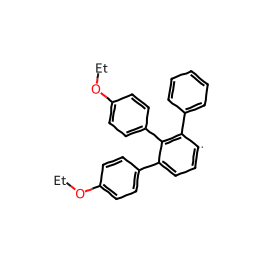 CCOc1ccc(-c2cc[c]c(-c3ccccc3)c2-c2ccc(OCC)cc2)cc1